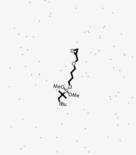 CO[Si](OC)(OCCCCOCC1CO1)C(C)(C)CC(C)(C)C